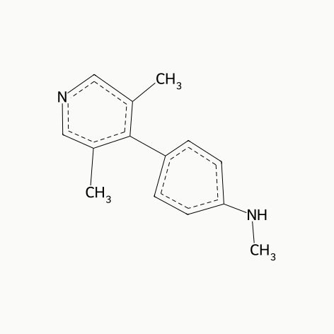 CNc1ccc(-c2c(C)cncc2C)cc1